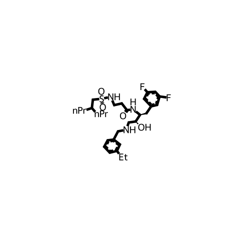 CCCC(CCC)CS(=O)(=O)NCCC(=O)N[C@@H](Cc1cc(F)cc(F)c1)[C@H](O)CNCc1cccc(CC)c1